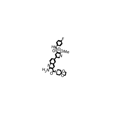 COc1ncc(-c2ccc3nc(N)c(C(=O)N4CCC5(CC4)OCCO5)cc3c2)cc1S(=O)(=O)Nc1ccc(F)cc1